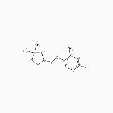 CC1(C)OCC(COc2ccc(F)cc2N)O1